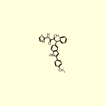 C=C(C(=O)Nc1nccs1)C(c1ccccc1)c1ccc2[nH]c(-c3ccc(C)cc3)cc2c1